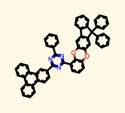 c1ccc(-c2nc(-c3ccc4c5ccccc5c5ccccc5c4c3)nc(-c3cccc4c3Oc3cc5c(cc3O4)C(c3ccccc3)(c3ccccc3)c3ccccc3-5)n2)cc1